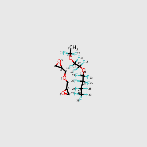 C(OCC1CO1)C1CO1.CC(F)(F)OC(F)(F)C(F)(F)OC(F)(F)C(F)(F)C(F)(F)C(F)(F)F